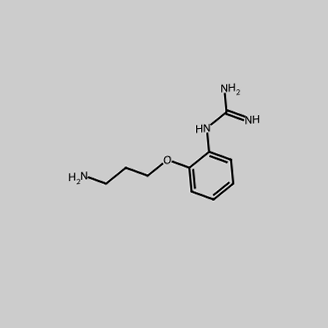 N=C(N)Nc1ccccc1OCCCN